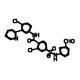 O=Cc1cccc(NS(=O)(=O)c2ccc(C(=O)Nc3ccc(Cl)c(-c4ccccn4)c3)c(Cl)c2)c1